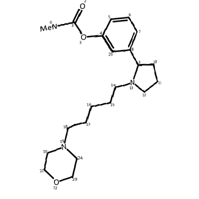 CNC(=O)Oc1cccc(C2CCCN2CCCCCN2CCOCC2)c1